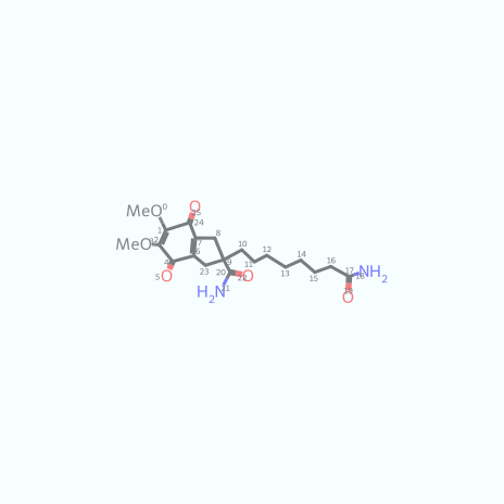 COC1=C(OC)C(=O)C2=C(CC(CCCCCCCC(N)=O)(C(N)=O)C2)C1=O